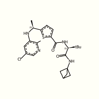 Cc1ncc(Cl)cc1N[C@@H](C)c1ccc(C(=O)N[C@H](C(=O)NC23CC(C2)C3)C(C)(C)C)s1